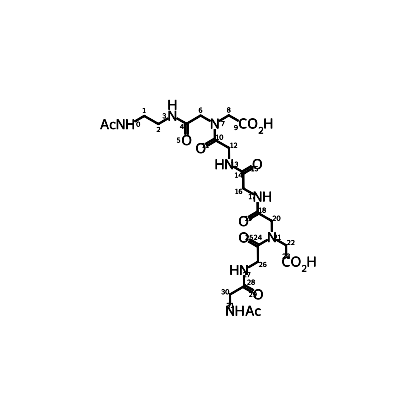 CC(=O)NCCNC(=O)CN(CC(=O)O)C(=O)CNC(=O)CNC(=O)CN(CC(=O)O)C(=O)CNC(=O)CNC(C)=O